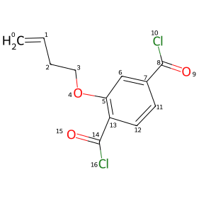 C=CCCOc1cc(C(=O)Cl)ccc1C(=O)Cl